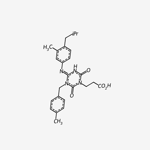 Cc1ccc(Cn2c(=O)n(CCC(=O)O)c(=O)[nH]/c2=N\c2ccc(CC(C)C)c(C)c2)cc1